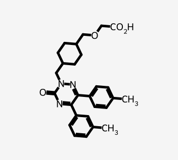 Cc1ccc(-c2nn(CC3CCC(COCC(=O)O)CC3)c(=O)nc2-c2cccc(C)c2)cc1